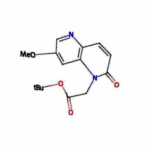 COc1cnc2ccc(=O)n(CC(=O)OC(C)(C)C)c2c1